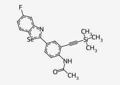 CC(=O)Nc1ccc(-c2nc3cc(F)ccc3[se]2)cc1C#C[Si](C)(C)C